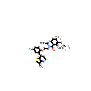 Cc1nc2cc(C(F)(F)F)c(CN(C)C)c(C#N)c2c(=O)n1CCOc1ccc(Cl)cc1-c1ccnc2c(C(=O)O)csc12